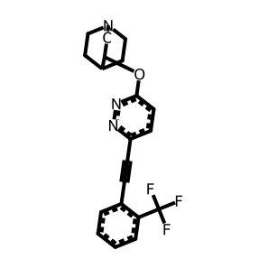 FC(F)(F)c1ccccc1C#Cc1ccc(OC2CN3CCC2CC3)nn1